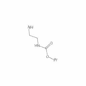 CC(C)OC(=O)NCC[NH]